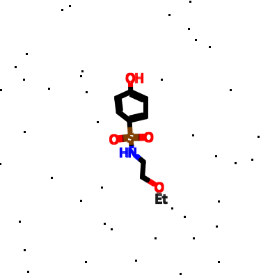 CCOCCNS(=O)(=O)c1ccc(O)cc1